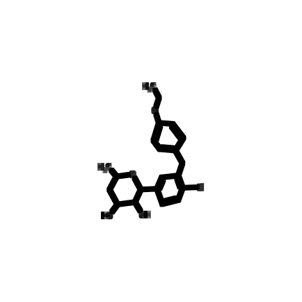 CCOc1ccc(Cc2cc(C3OC(C)CC(O)C3O)ccc2Cl)cc1